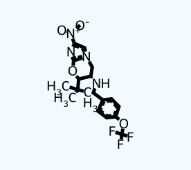 CC(C)(C)C1Oc2nc([N+](=O)[O-])cn2C[C@@H]1NCc1ccc(OC(F)(F)F)cc1